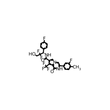 Cc1ccc(-c2cn3cc(C(=O)N[C@@H](c4ccc(F)cc4)C(F)(F)CO)c(C(F)(F)F)c3c(=O)[nH]2)cc1F